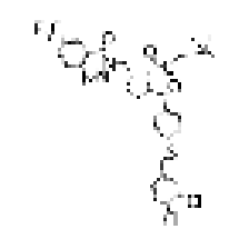 C[Si](C)(C)CCOC(=O)[C@H]1[C@H](Cn2nnc3ccc(C(F)(F)F)cc3c2=O)CC[C@@H]1C(=O)c1ccc(SCc2ccc(Cl)c(Cl)c2)cc1